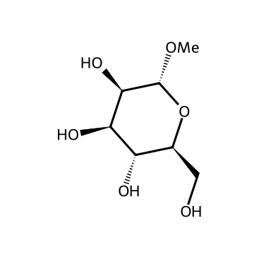 CO[C@@H]1O[C@@H](CO)[C@H](O)[C@@H](O)[C@H]1O